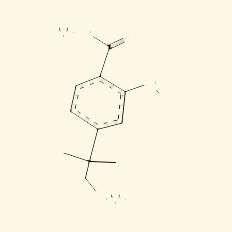 CCOc1cc(C(C)(C)COC)ccc1C(=O)OC